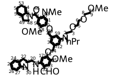 CCCN(CCOCCOCCOC)c1cc(COc2cc(NCC3Cc4ccccc4N3C)c(C=O)cc2OC)cc(COc2cc(NC)c(C(=O)N3CCC4=CCCC=C43)cc2OC)c1